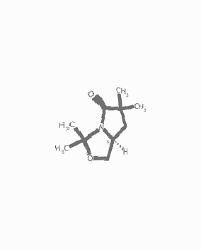 CC1(C)C[C@H]2COC(C)(C)N2C1=O